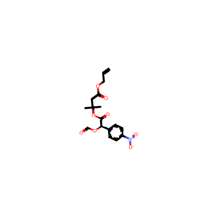 C=CCOC(=O)CC(C)(C)OC(=O)C(O[C]=O)c1ccc([N+](=O)[O-])cc1